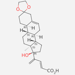 C=C(C=CC(=O)O)[C@@]1(O)CC[C@H]2[C@@H]3CC=C4CC5(CC[C@@H]4[C@H]3CC[C@@]21C)OCCO5